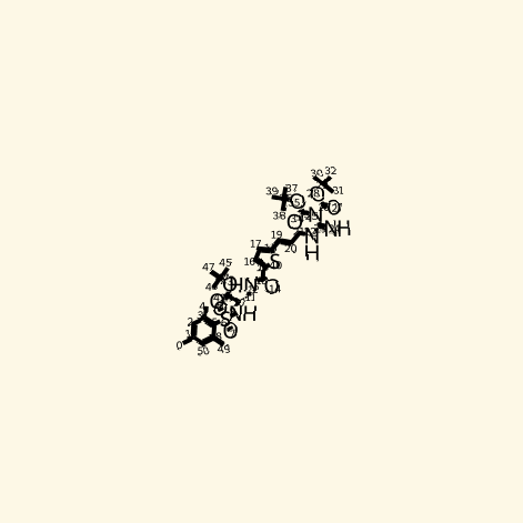 Cc1cc(C)c(S(=O)(=O)N[C@@H](CNC(=O)c2ccc(C=CCNC(=N)N(C(=O)OC(C)(C)C)C(=O)OC(C)(C)C)s2)C(=O)OC(C)(C)C)c(C)c1